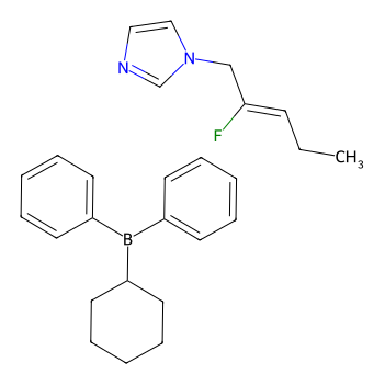 CCC=C(F)Cn1ccnc1.c1ccc(B(c2ccccc2)C2CCCCC2)cc1